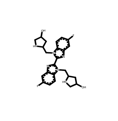 OC1CNC(Cn2c(-c3nc4cc(F)ccc4n3CC3CC(O)CN3)nc3cc(F)ccc32)C1